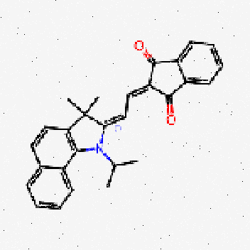 CC(C)N1/C(=C/C=C2C(=O)c3ccccc3C2=O)C(C)(C)c2ccc3ccccc3c21